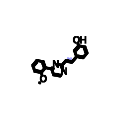 COc1ccccc1-c1ccnc(/C=C/c2cccc(O)c2)n1